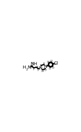 N=C(N)CCCN1CCN(c2ccc(Cl)cc2)CC1